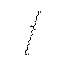 CCC/C=C/CCCCCCCNC(=O)CCCCCO